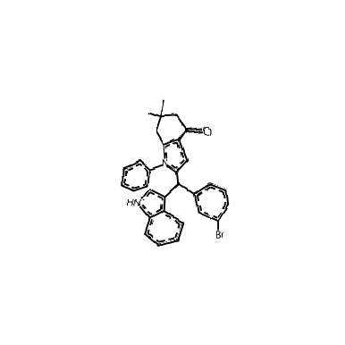 CC1(C)CC(=O)c2cc(C(c3cccc(Br)c3)c3c[nH]c4ccccc34)n(-c3ccccc3)c2C1